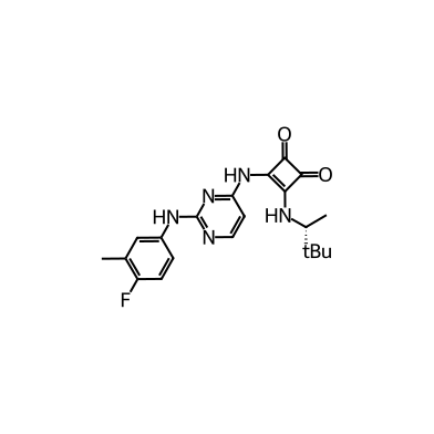 Cc1cc(Nc2nccc(Nc3c(N[C@H](C)C(C)(C)C)c(=O)c3=O)n2)ccc1F